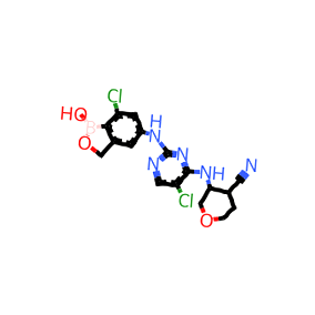 N#CC1CCOCC1Nc1nc(Nc2cc(Cl)c3c(c2)COB3O)ncc1Cl